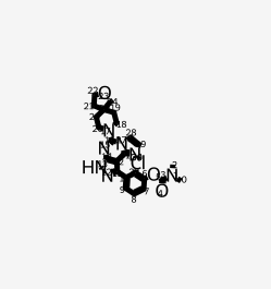 CN(C)C(=O)Oc1cccc(-c2n[nH]c3nc(N4CCC5(CCOC5)CC4)n4ccnc4c23)c1Cl